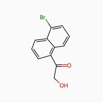 O=C(CO)c1cccc2c(Br)cccc12